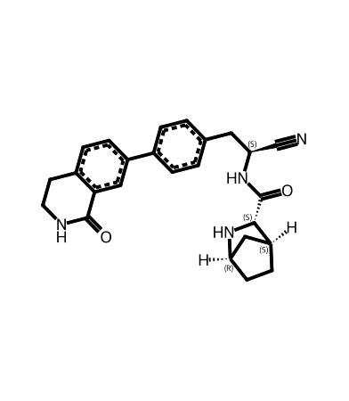 N#C[C@H](Cc1ccc(-c2ccc3c(c2)C(=O)NCC3)cc1)NC(=O)[C@H]1N[C@@H]2CC[C@H]1C2